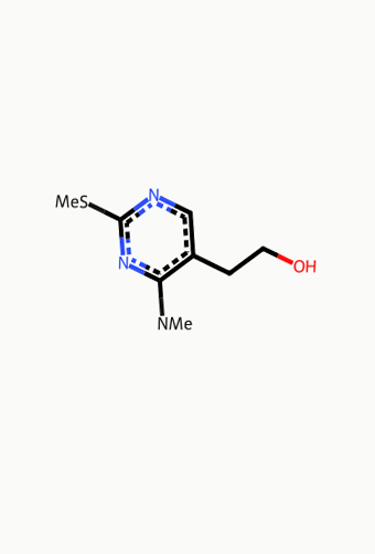 CNc1nc(SC)ncc1CCO